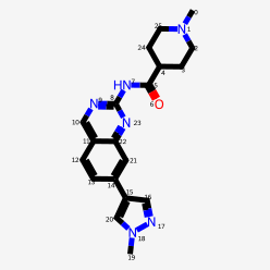 CN1CCC(C(=O)Nc2ncc3ccc(-c4cnn(C)c4)cc3n2)CC1